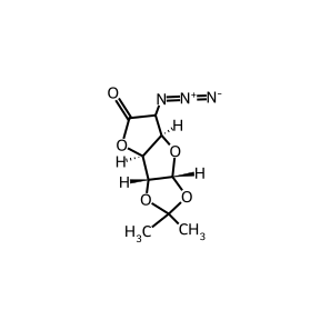 CC1(C)O[C@H]2O[C@@H]3C(N=[N+]=[N-])C(=O)O[C@@H]3[C@H]2O1